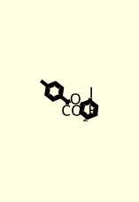 Cc1ccc(C(Oc2ccccc2I)C(=O)O)cc1